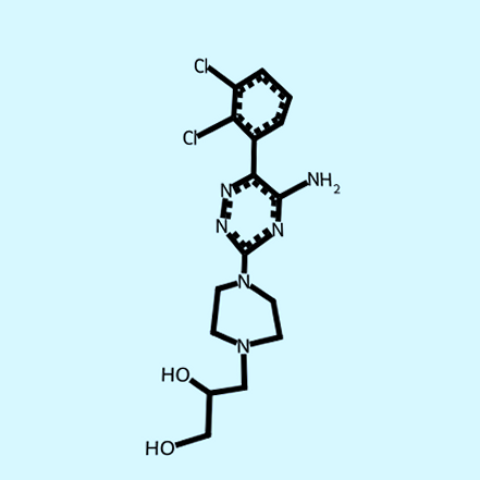 Nc1nc(N2CCN(CC(O)CO)CC2)nnc1-c1cccc(Cl)c1Cl